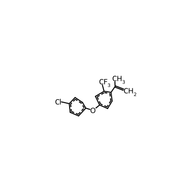 C=C(C)c1ccc(Oc2ccc(Cl)cc2)cc1C(F)(F)F